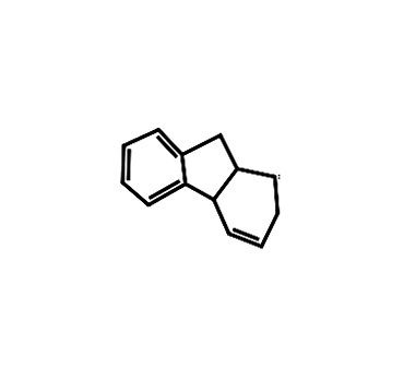 [C]1CC=CC2c3ccccc3CC12